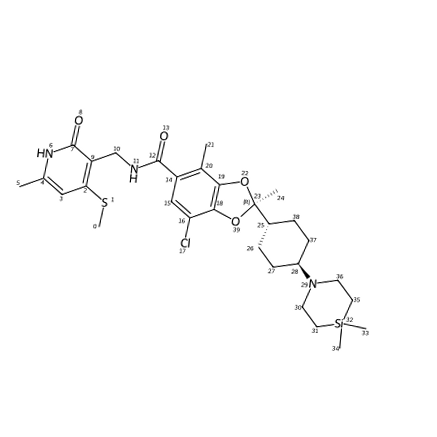 CSc1cc(C)[nH]c(=O)c1CNC(=O)c1cc(Cl)c2c(c1C)O[C@@](C)([C@H]1CC[C@H](N3CC[Si](C)(C)CC3)CC1)O2